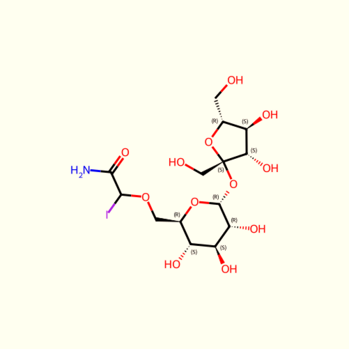 NC(=O)C(I)OC[C@H]1O[C@H](O[C@]2(CO)O[C@H](CO)[C@@H](O)[C@@H]2O)[C@H](O)[C@@H](O)[C@@H]1O